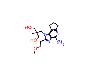 COCCc1nc2c(N)nc3c(c2n1CC(C)(CO)CO)CCC3